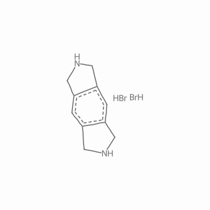 Br.Br.c1c2c(cc3c1CNC3)CNC2